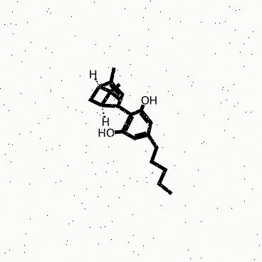 CCCCCc1cc(O)c(C2C=C(C)[C@@H]3C[C@H]2C3(C)C)c(O)c1